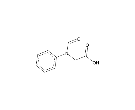 O=CN(CC(=O)O)c1ccccc1